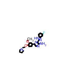 COc1cc(-c2cnc(N)c(-c3nc4cc(F)ccc4[nH]3)n2)ccc1OCCN1CCCC1